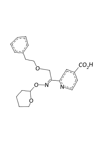 O=C(O)c1ccnc(/C(COCCc2ccccc2)=N/OC2CCCCO2)c1